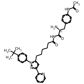 CC(=O)Nc1ccc(C[C@H](N)C(=O)NC(=O)CCCCCc2cc(-c3ccccn3)nn2-c2ccc(C(C)(C)C)cc2)cc1